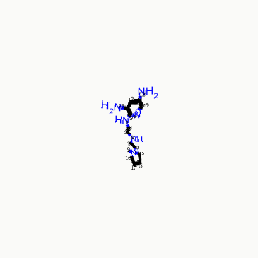 C[N+]1(CCNCCNc2ncc(N)cc2N)CCCC1